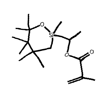 C=C(C)C(=O)OC(C)[Si]1(C)CC(C)(C)C(C)(C)C(C)(C)O1